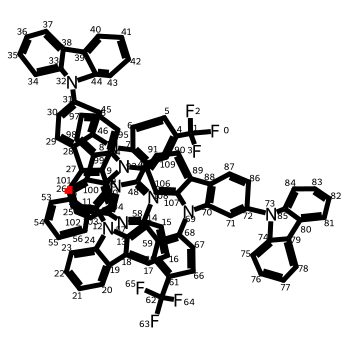 FC(F)(F)c1ccc(-n2c3cc(-n4c5ccccc5c5ccccc54)ccc3c3ccc(-n4c5ccccc5c5ccccc54)cc32)c(-c2nc(-c3ccccc3)nc(-c3cc(C(F)(F)F)ccc3-n3c4cc(-n5c6ccccc6c6ccccc65)ccc4c4ccc(-n5c6ccccc6c6ccccc65)cc43)n2)c1